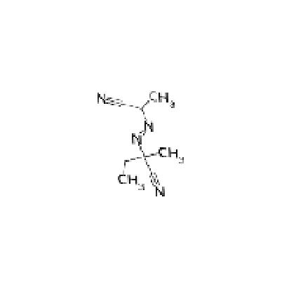 CCC(C)(C#N)N=NC(C)C#N